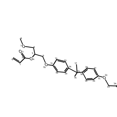 C=CC(=O)OC(COC)COc1ccc(C(C)(C)c2ccc(OCC3CO3)cc2)cc1